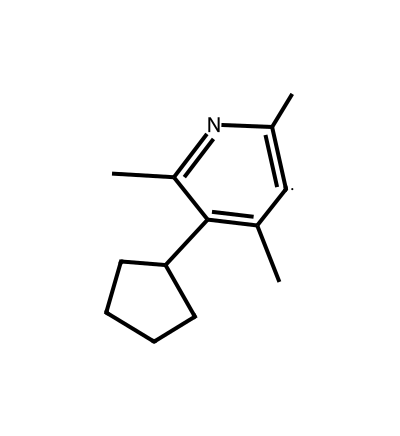 Cc1[c]c(C)c(C2CCCC2)c(C)n1